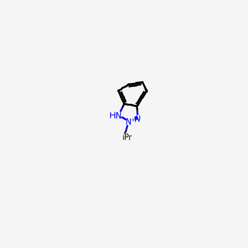 CC(C)[n+]1nc2ccccc2[nH]1